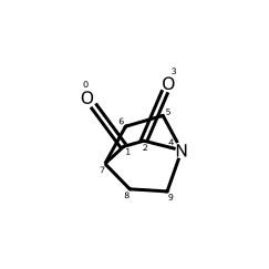 O=C1C(=O)N2CCC1CC2